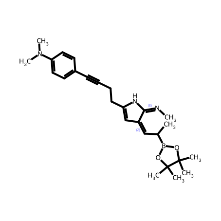 C/N=C1/NC(CCC#Cc2ccc(N(C)C)cc2)=C/C1=C/C(C)B1OC(C)(C)C(C)(C)O1